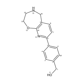 OCc1ccc(-c2ccc3c(n2)OCCNC3)cc1